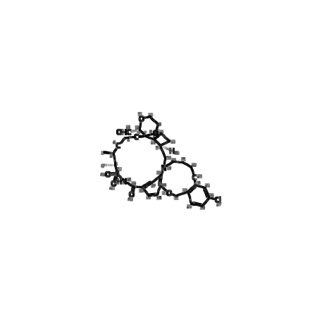 C[C@@H]1[C@@H](C)CCC[C@@]2(OCCO[C@H]2C=O)[C@@H]2CC[C@H]2CN2CCCCc3cc(Cl)ccc3COc3ccc(cc32)C(=O)NS1(=O)=O